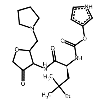 CCC(C)(C)C[C@H](NC(=O)Oc1cc[nH]c1)C(=O)NC1C(=O)COC1CN1CCCC1